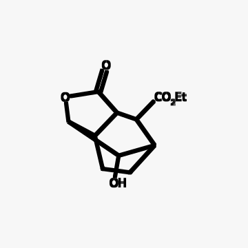 CCOC(=O)C1C2CCC3C(OC(=O)C31)C2O